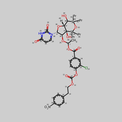 CC(OC(=O)c1ccc(OC(=O)OCCc2ccc([N+](=O)[O-])cc2)c(Cl)c1)O[C@H]1[C@H](n2ccc(=O)[nH]c2=O)O[C@@H]2C(O)[Si](C(C)C)(C(C)C)O[Si](C(C)C)(C(C)C)[C@@]21O